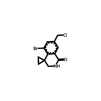 O=C1NCC2(CC2)c2c(Br)cc(CCl)cc21